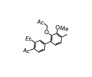 CCc1cc(-c2ccc(C)c(OC)c2OCC(C)=O)ccc1C(C)=O